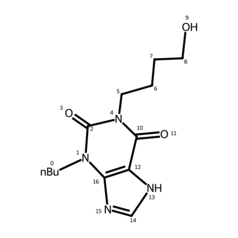 CCCCn1c(=O)n(CCCCO)c(=O)c2[nH]cnc21